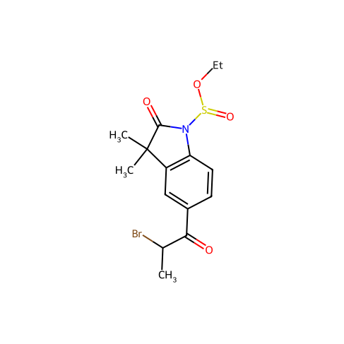 CCOS(=O)N1C(=O)C(C)(C)c2cc(C(=O)C(C)Br)ccc21